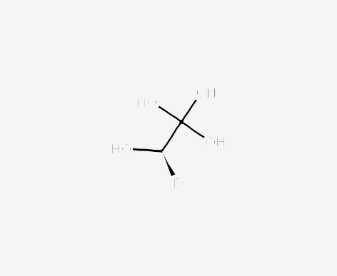 CC[C@@H](O)C(O)(O)O